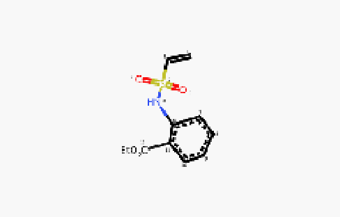 C=CS(=O)(=O)Nc1ccccc1C(=O)OCC